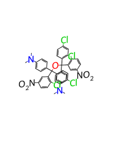 CN(C)c1ccc(C(OC(c2ccc(Cl)cc2)(c2ccc(N(C)C)cc2)c2cc([N+](=O)[O-])ccc2Cl)(c2ccc(Cl)cc2)c2cc([N+](=O)[O-])ccc2Cl)cc1